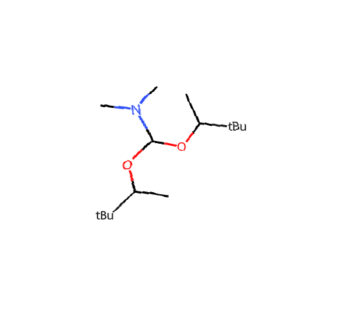 CC(OC(OC(C)C(C)(C)C)N(C)C)C(C)(C)C